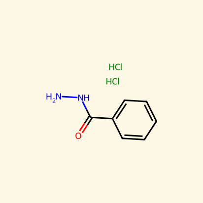 Cl.Cl.NNC(=O)c1ccccc1